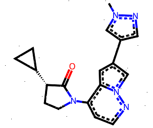 Cn1cc(-c2cc3c(N4CC[C@H](C5CC5)C4=O)ccnn3c2)cn1